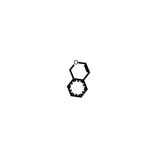 C1=Cc2ccccc2CO1